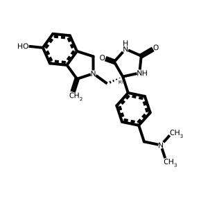 C=C1c2cc(O)ccc2CN1C[C@@]1(c2ccc(CN(C)C)cc2)NC(=O)NC1=O